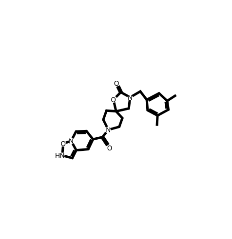 Cc1cc(C)cc(CN2CC3(CCN(C(=O)C4=CC5=CNON5C=C4)CC3)OC2=O)c1